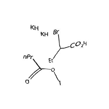 CCC(Br)C(=O)O.CCCC(=O)OI.[KH].[KH]